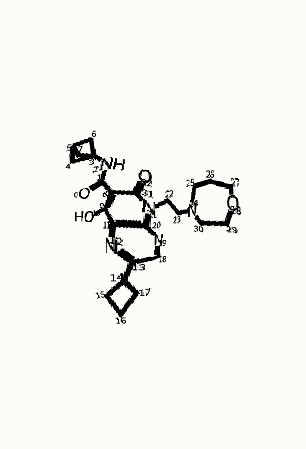 O=C(NC12CC(C1)C2)c1c(O)c2nc(C3CCC3)cnc2n(CCN2CCCOCC2)c1=O